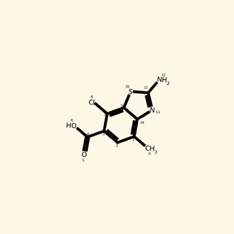 Cc1cc(C(=O)O)c(Cl)c2sc(N)nc12